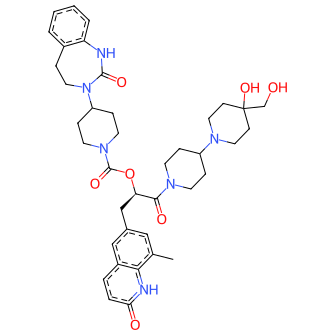 Cc1cc(C[C@@H](OC(=O)N2CCC(N3CCc4ccccc4NC3=O)CC2)C(=O)N2CCC(N3CCC(O)(CO)CC3)CC2)cc2ccc(=O)[nH]c12